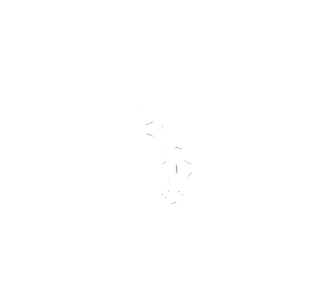 Nc1nccn1Cc1cc(Br)c2ccn(Cc3cccc(OC(F)F)c3)c(=O)c2c1